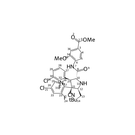 COC(=O)c1ccc(NC(=O)[C@@H]2N[C@@H](CC(C)(C)C)[C@](C#N)(c3ncc(Cl)cc3F)[C@H]2c2cccc(Cl)c2F)c(OC)c1